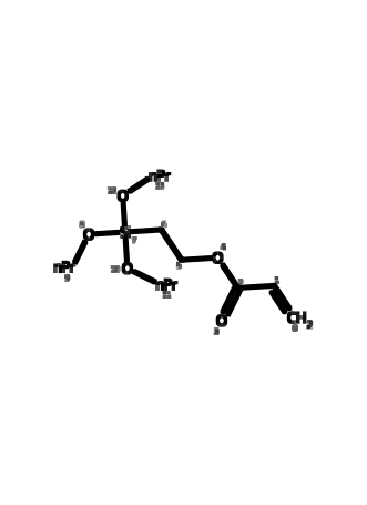 C=CC(=O)OCC[Si](OCCC)(OCCC)OCCC